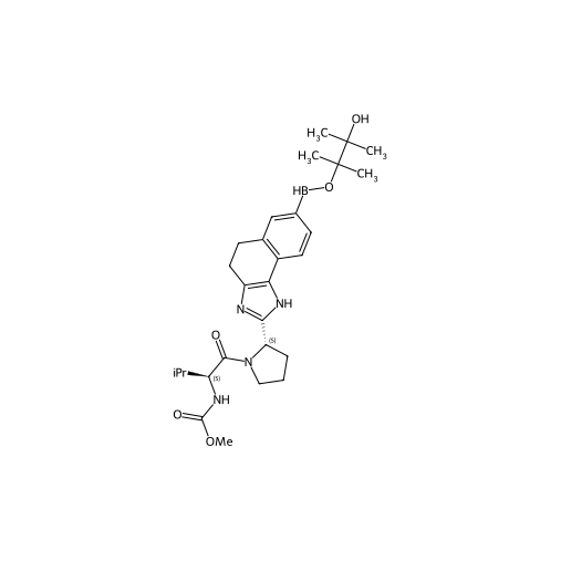 COC(=O)N[C@H](C(=O)N1CCC[C@H]1c1nc2c([nH]1)-c1ccc(BOC(C)(C)C(C)(C)O)cc1CC2)C(C)C